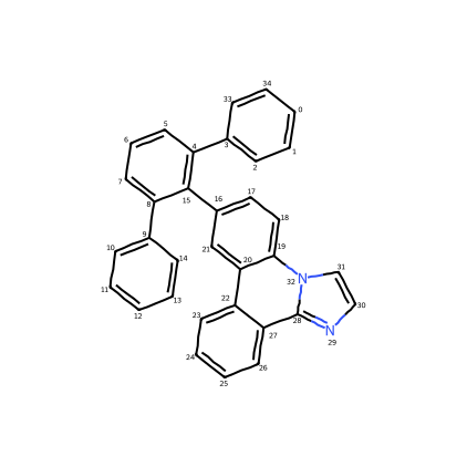 c1ccc(-c2cccc(-c3ccccc3)c2-c2ccc3c(c2)c2ccccc2c2nccn32)cc1